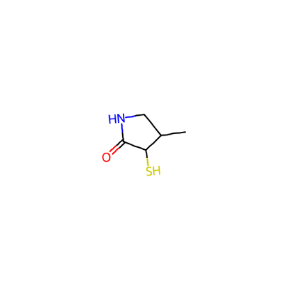 CC1CNC(=O)C1S